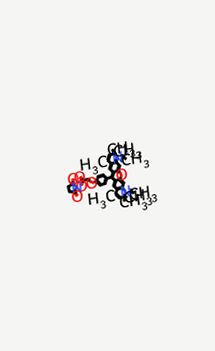 CCN1c2cc3c(cc2C(C)=CC1(C)C)C(c1ccc(OCC(=O)ON2C(=O)CCC2=O)cc1)=c1cc2c(cc1O3)=[N+](CC)C(C)(C)C=C2C